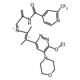 C=C(/C=N\C(C)=C(/C)c1cc(N2CCOCC2)c(OCC)nn1)NC(=O)c1ccnc(C(F)(F)F)c1